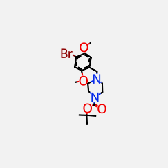 COc1cc(CN2CCN(C(=O)OC(C)(C)C)CC2)c(OC)cc1Br